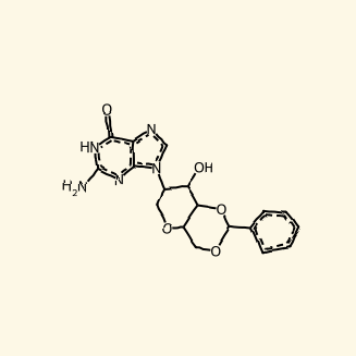 Nc1nc2c(ncn2C2COC3COC(c4ccccc4)OC3C2O)c(=O)[nH]1